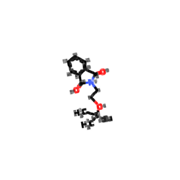 CC(C)(C)[Si](C)(C)OCCN1C(=O)c2ccccc2C1=O